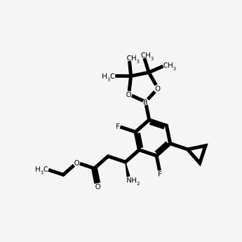 CCOC(=O)C[C@H](N)c1c(F)c(B2OC(C)(C)C(C)(C)O2)cc(C2CC2)c1F